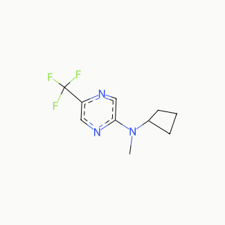 CN(c1cnc(C(F)(F)F)cn1)C1CCC1